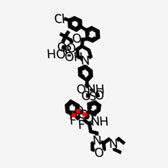 CCN(CC)CC1COCCN1CCC(CSc1ccccc1)Nc1ccc(S(=O)(=O)NC(=O)c2ccc(N3CCC([C@@H](OC(OP(=O)(O)O)C(C)(C)C)c4ccccc4-c4ccc(Cl)cc4)CC3)cc2)cc1S(=O)(=O)C(F)(F)F